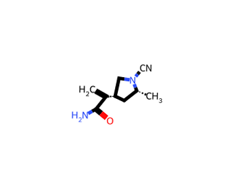 C=C(C(N)=O)[C@H]1C[C@@H](C)N(C#N)C1